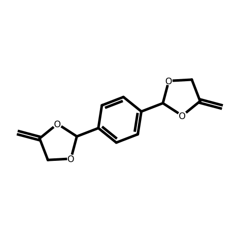 C=C1COC(c2ccc(C3OCC(=C)O3)cc2)O1